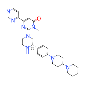 Cn1c(N2CCN[C@@H](c3ccc(N4CCC(N5CCCCC5)CC4)cc3)C2)nc(-c2ccncn2)cc1=O